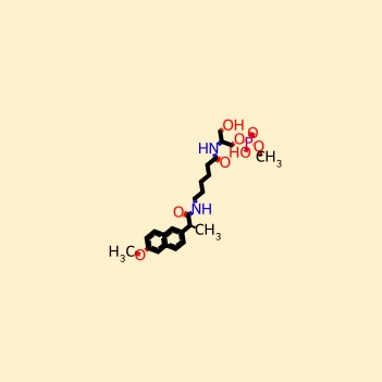 COc1ccc2cc([C@H](C)C(=O)NCCCCCC(=O)NC(CO)COP(=O)(O)OC)ccc2c1